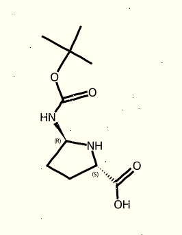 CC(C)(C)OC(=O)N[C@@H]1CC[C@@H](C(=O)O)N1